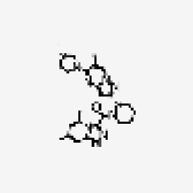 Cc1cc(C)n2c(C(=O)N3CCCC[C@H]3c3cc4nc(N5CC[C@H](C)C5)c(C)cn4n3)nnc2c1